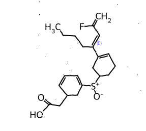 C=C(F)/C=C(\CCCC)C1=CCCC([S+]([O-])C2=CC=CC(CC(=O)O)C2)C1